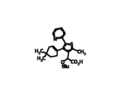 Cc1sc(-c2ccccn2)c(C2=CCC(C)(C)CC2)c1C(OC(C)(C)C)C(=O)O